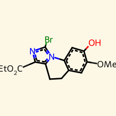 CCOC(=O)c1nc(Br)n2c1CCc1cc(OC)c(O)cc1-2